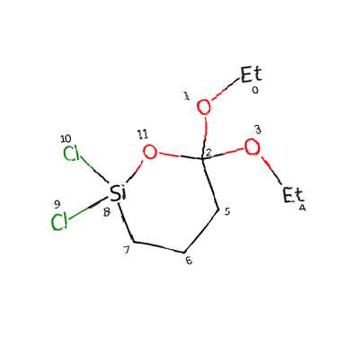 CCOC1(OCC)CCC[Si](Cl)(Cl)O1